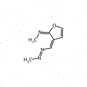 C/N=N/C=C1/C=CO/C1=N/C